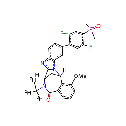 [2H]C([2H])([2H])N1C(=O)c2cccc(OC)c2[C@H]2C[C@@H]1c1nc3ccc(-c4cc(F)c(P(C)(C)=O)cc4F)cc3n12